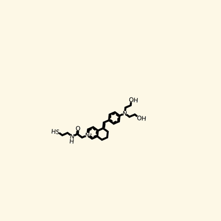 O=C(C[n+]1ccc2c(c1)CCC/C2=C\c1ccc(N(CCO)CCO)cc1)NCCS